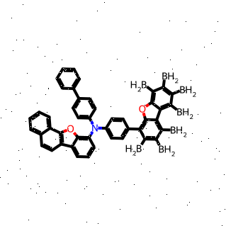 Bc1c(B)c(B)c2c(oc3c(-c4ccc(N(c5ccc(-c6ccccc6)cc5)c5cccc6c5oc5c7ccccc7ccc65)cc4)c(B)c(B)c(B)c32)c1B